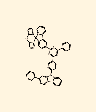 c1ccc(-c2ccc3c4ccccc4n(-c4ccc(-c5nc(-c6ccccc6)nc(-c6ccc7c(c6)-c6ccccc6C76c7ccccc7Oc7ccccc76)n5)cc4)c3c2)cc1